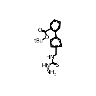 CC(C)(C)OC(=O)c1ccccc1-c1ccc(CNC(=S)NN)cc1